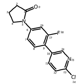 O=C1CCCN1c1ccc(-c2ccc(Cl)nc2)c(F)c1